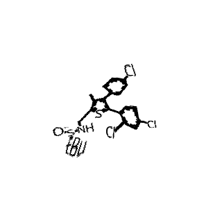 Cc1c(CN[S+]([O-])C(C)(C)C)sc(-c2ccc(Cl)cc2Cl)c1-c1ccc(Cl)cc1